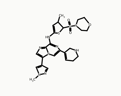 CC1C=C(Nc2nc(C3=CCCNC3)cn3c(-c4cnn(C)c4)cnc23)SC1S(=O)(=O)N1CCOCC1